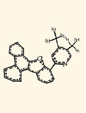 [2H]C([2H])([2H])c1cnc(-c2cccc3c2oc2c4ccccc4c4ccccc4c32)cc1C([2H])([2H])[2H]